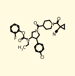 CCN(C(=O)Oc1ccccc1F)C1CN(C(=O)C2CCN(C(=O)C3(C#N)CC3)CC2)CC1c1ccc(Cl)cc1